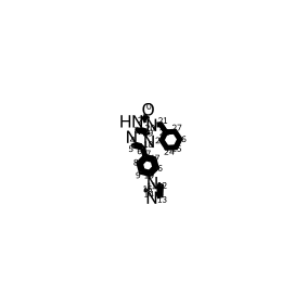 O=c1[nH]c2ncc(-c3ccc(-n4ccnc4)cc3)nc2n1CC1CCCCC1